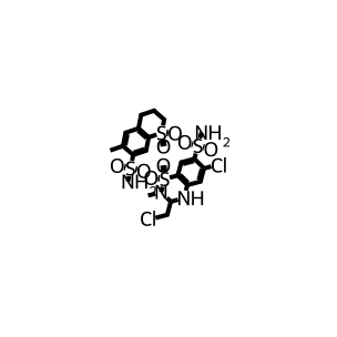 CN1C(CCl)Nc2cc(Cl)c(S(N)(=O)=O)cc2S1(=O)=O.Cc1cc2c(cc1S(N)(=O)=O)S(=O)(=O)CCC2